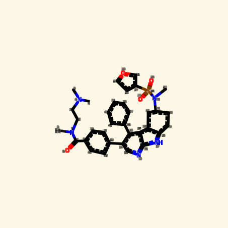 CCN(CCN(C)C)C(=O)c1ccc(-c2cnc3[nH]c4ccc(N(C)S(=O)(=O)c5ccoc5)cc4c3c2-c2ccccc2)cc1